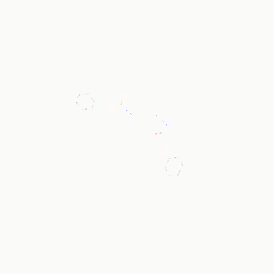 O=C(COc1ccc(Cl)c(F)c1)NC12CCCC(NC(=O)OCc3ccccc3)(C1)C2